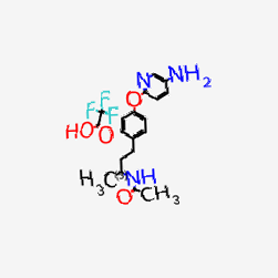 CC(=O)N[C@@H](C)CCc1ccc(Oc2ccc(N)cn2)cc1.O=C(O)C(F)(F)F